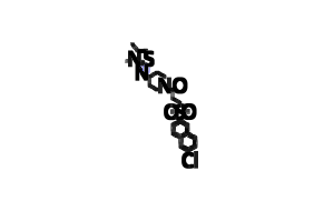 Cc1cs/c(=N\C2CCN(C(=O)CCS(=O)(=O)c3ccc4cc(Cl)ccc4c3)CC2)n1C